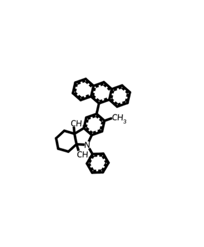 Cc1cc2c(cc1-c1c3ccccc3cc3ccccc13)C1(C)CCCCC1(C)N2c1ccccc1